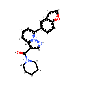 O=C(c1cnn2c(-c3ccc4occc4c3)cccc12)N1CCCCC1